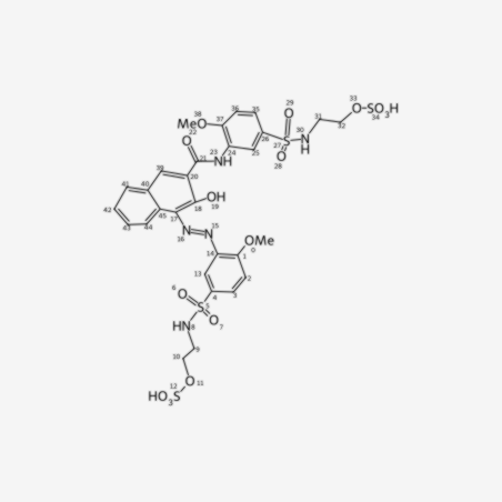 COc1ccc(S(=O)(=O)NCCOS(=O)(=O)O)cc1/N=N/c1c(O)c(C(=O)Nc2cc(S(=O)(=O)NCCOS(=O)(=O)O)ccc2OC)cc2ccccc12